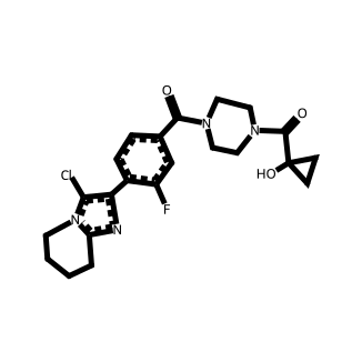 O=C(c1ccc(-c2nc3n(c2Cl)CCCC3)c(F)c1)N1CCN(C(=O)C2(O)CC2)CC1